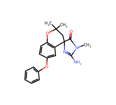 CN1C(=O)C2(CC(C)(C)Oc3ccc(Oc4ccccc4)cc32)N=C1N